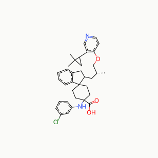 C[C@@H](COc1ccncc1C1CC1(C)C)CC1Cc2ccccc2C12CCC(Nc1cccc(Cl)c1)(C(=O)O)CC2